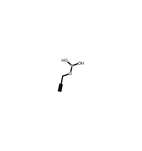 C#CCOB(O)O